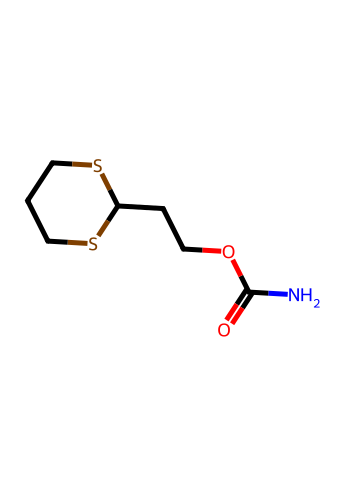 NC(=O)OCCC1SCCCS1